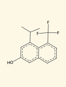 CC(C)c1cc(O)cc2cccc(C(F)(F)F)c12